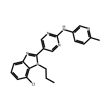 CCCn1c(-c2cnc(Nc3ccc(C)nc3)nc2)nc2cccc(Cl)c21